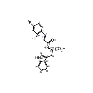 O=C(/C=C/c1ccc(F)cc1F)N[C@@H](Cc1c[nH]c2ccccc12)C(=O)O